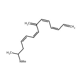 C=C/C=C\C=C/C(=C)/C=C\C=C/CC(C)NC